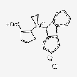 CCCCCCCCC1=[C]([Hf+2]2([CH]3c4ccccc4-c4ccccc43)[CH2][CH2]2)CC=C1.[Cl-].[Cl-]